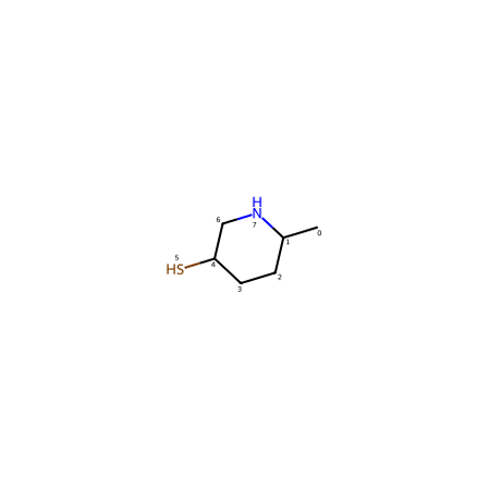 CC1CCC(S)CN1